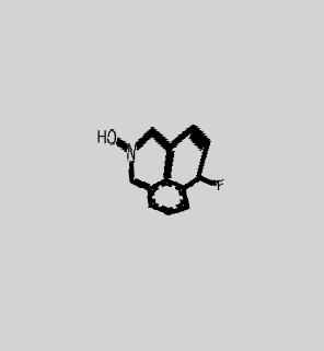 ON1C=c2cccc3c2=C(C=CC3F)C1